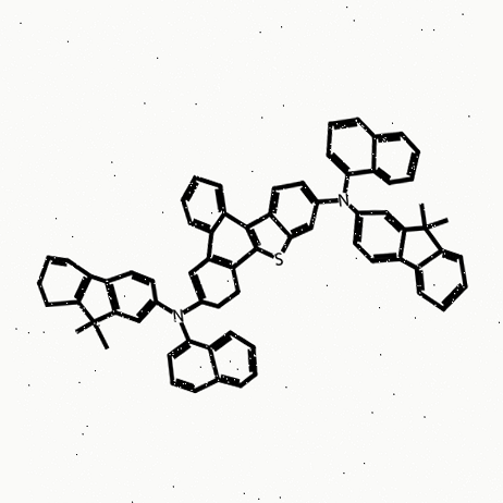 CC1(C)C2=C(C=CCC2)c2ccc(N(C3=Cc4c(c5sc6cc(N(c7ccc8c(c7)C(C)(C)c7ccccc7-8)c7cccc8ccccc78)ccc6c5c5ccccc45)CC3)c3cccc4ccccc34)cc21